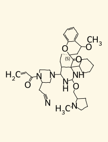 C=CC(=O)N1CCN(C2NC(OCC3CCCN3C)NC3(C4CCCCC4)C(=O)[C@]4(CCC23)CC(OC)c2ccccc2O4)CC1CC#N